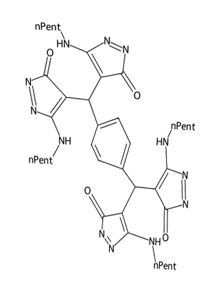 CCCCCNC1=C(C(C2=C(NCCCCC)N=NC2=O)c2ccc(C(C3=C(NCCCCC)N=NC3=O)C3=C(NCCCCC)N=NC3=O)cc2)C(=O)N=N1